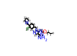 CCCCOc1nc(N)c2cnn(Cc3ccc(CN4CCCC4)c(F)c3)c2n1